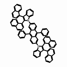 c1ccc(-c2c3ccc(-n4c(-c5cccc6ccccc56)c(-c5cccc6ccccc56)c5ccccc54)cc3c(-c3ccccc3)c3ccc(-n4c(-c5cccc6ccccc56)c(-c5cccc6ccccc56)c5ccccc54)cc23)cc1